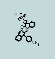 CS(=O)(=O)N1CC2(C1)C(=O)N(Cc1ncc3ccccc3c1-c1ccc(C(F)(F)F)cc1)c1ccccc12